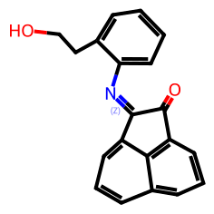 O=C1/C(=N\c2ccccc2CCO)c2cccc3cccc1c23